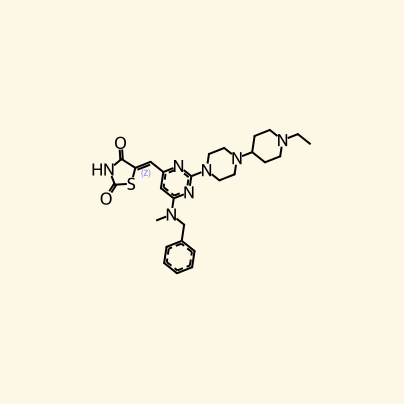 CCN1CCC(N2CCN(c3nc(/C=C4\SC(=O)NC4=O)cc(N(C)Cc4ccccc4)n3)CC2)CC1